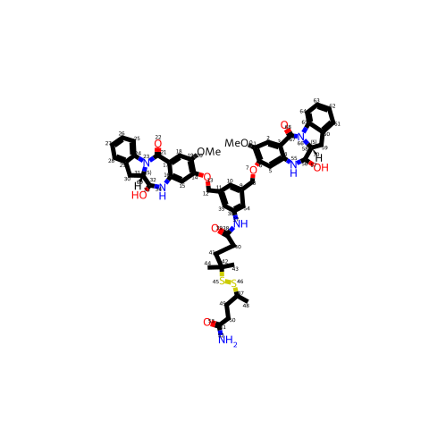 COc1cc2c(cc1OCc1cc(COc3cc4c(cc3OC)C(=O)N3c5ccccc5C[C@H]3C(O)N4)cc(NC(=O)CCC(C)(C)SSC(C)CCC(N)=O)c1)NC(O)[C@@H]1Cc3ccccc3N1C2=O